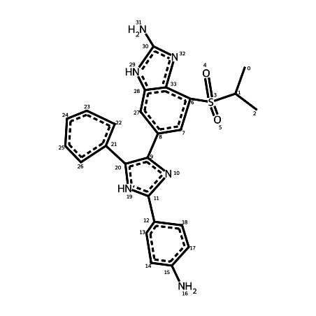 CC(C)S(=O)(=O)c1cc(-c2nc(-c3ccc(N)cc3)[nH]c2-c2ccccc2)cc2[nH]c(N)nc12